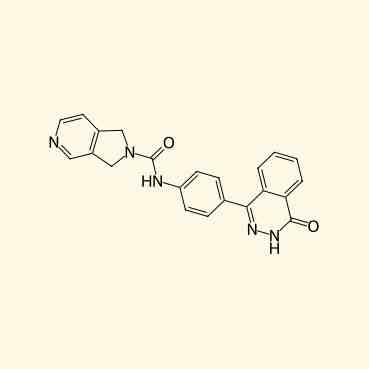 O=C(Nc1ccc(-c2n[nH]c(=O)c3ccccc23)cc1)N1Cc2ccncc2C1